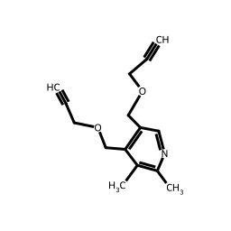 C#CCOCc1cnc(C)c(C)c1COCC#C